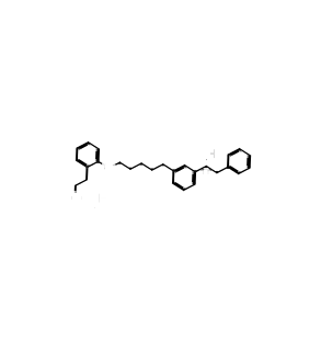 O=C(O)CCc1ccccc1OCCCCCc1cccc([C@H](O)Cc2ccccc2)c1